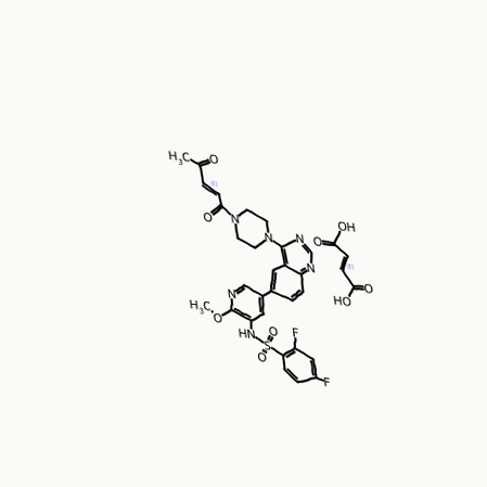 COc1ncc(-c2ccc3ncnc(N4CCN(C(=O)/C=C/C(C)=O)CC4)c3c2)cc1NS(=O)(=O)c1ccc(F)cc1F.O=C(O)/C=C/C(=O)O